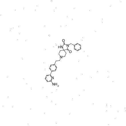 Nc1cccc(-c2ccc(CCN3CCC4(CC3)NC(=O)N(Cc3ccccc3)C4=O)cc2)n1